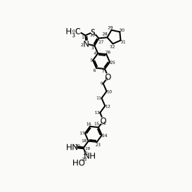 Cc1nc(-c2ccc(OCCCCCOc3ccc(C(=N)NO)cc3)cc2)c(C2CCCC2)s1